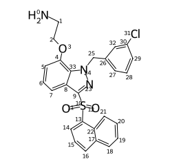 NCCOc1cccc2c(S(=O)(=O)c3cccc4ccccc34)nn(Cc3cccc(Cl)c3)c12